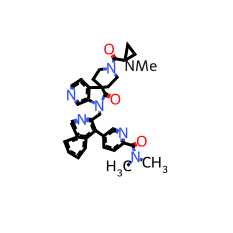 CNC1(C(=O)N2CCC3(CC2)C(=O)N(Cc2ncc4ccccc4c2-c2ccc(C(=O)N(C)C)nc2)c2cnccc23)CC1